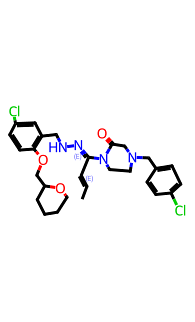 C/C=C/C(=N\NCc1cc(Cl)ccc1OCC1CCCCO1)N1CCN(Cc2ccc(Cl)cc2)CC1=O